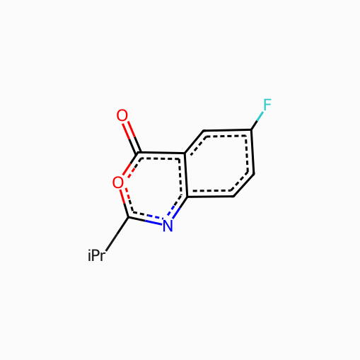 CC(C)c1nc2ccc(F)cc2c(=O)o1